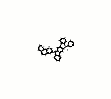 O=P1(c2ccccc2)c2ccccc2-c2cc3c(cc21)c1ccccc1n3-c1cnc2c(ccc3cccnc32)c1